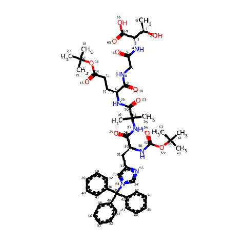 C[C@@H](O)[C@H](NC(=O)CNC(=O)[C@H](CCC(=O)OC(C)(C)C)NC(=O)C(C)(C)NC(=O)[C@H](Cc1cn(C(c2ccccc2)(c2ccccc2)c2ccccc2)cn1)NC(=O)OC(C)(C)C)C(=O)O